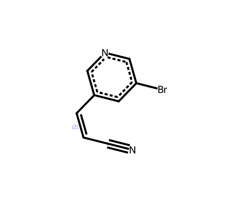 N#C/C=C\c1cncc(Br)c1